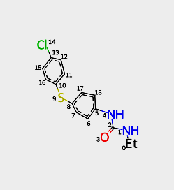 CCNC(=O)Nc1ccc(Sc2ccc(Cl)cc2)cc1